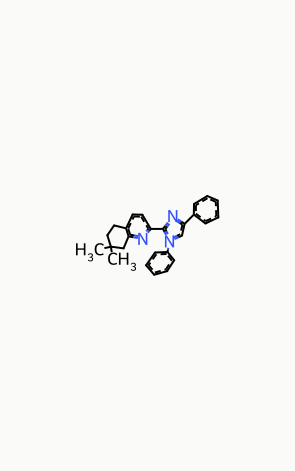 CC1(C)CCc2ccc(-c3nc(-c4ccccc4)cn3-c3ccccc3)nc2C1